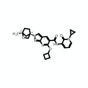 C[C@]12CC[C@](n3cc4cc(C(=O)Nc5cccn(C6CC6)c5=O)c(OC5CCC5)nc4n3)(CO1)C2